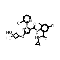 Cc1cc(Cl)cc(C(=O)NC2CC2)c1NC(=O)c1cc(OC2CS(O)(O)C2)nn1-c1ncccc1Cl